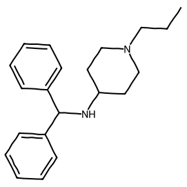 CCCN1CCC(NC(c2ccccc2)c2ccccc2)CC1